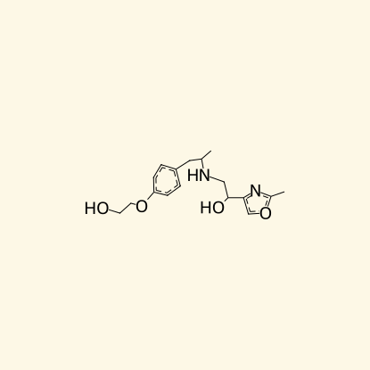 Cc1nc(C(O)CNC(C)Cc2ccc(OCCO)cc2)co1